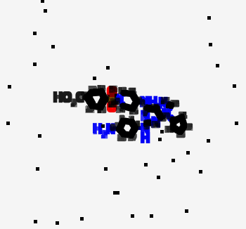 N[C@H]1CC[C@H](Nc2nc(NC3CCN(S(=O)(=O)c4ccc(C(=O)O)cc4)CC3)c3ncn(C4CCCC4)c3n2)CC1